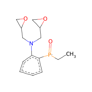 CC[P](=O)c1ccccc1N(CC1CO1)CC1CO1